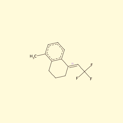 Cc1cccc2c1CCC/C2=C\C(F)(F)F